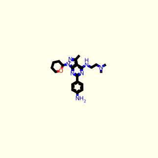 Cc1nn(C2CCCCO2)c2nc(-c3ccc(N)cc3)nc(NCCN(C)C)c12